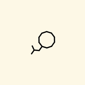 CC(C)CC1CCCCCCCCC1